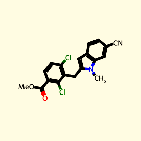 COC(=O)c1ccc(Cl)c(Cc2cc3ccc(C#N)cc3n2C)c1Cl